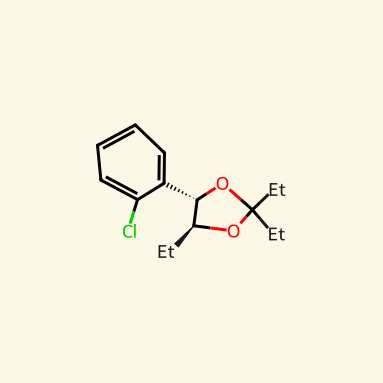 [CH2]C[C@@H]1OC(CC)(CC)O[C@H]1c1ccccc1Cl